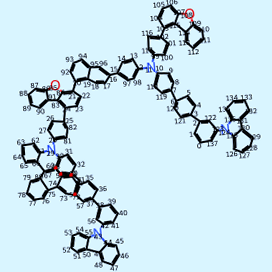 c1cc(-c2ccc(-c3ccc(N(c4ccc(-c5ccc6c(-c7ccc(-c8ccc(N(c9ccc(-c%10ccc(-c%11cccc(-n%12c%13ccccc%13c%13ccccc%13%12)c%11)cc%10)cc9)c9ccccc9-c9cc%10ccccc%10c%10ccccc9%10)cc8)c8c7oc7ccccc78)cccc6c5)cc4)c4ccc(-c5cccc6oc7ccccc7c56)cc4)cc3)cc2)cc(-n2c3ccccc3c3ccccc32)c1